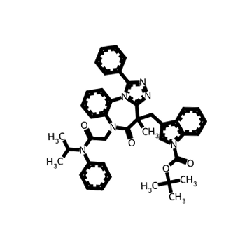 CC(C)N(C(=O)CN1C(=O)C(C)(Cc2cn(C(=O)OC(C)(C)C)c3ccccc23)c2nnc(-c3ccccc3)n2-c2ccccc21)c1ccccc1